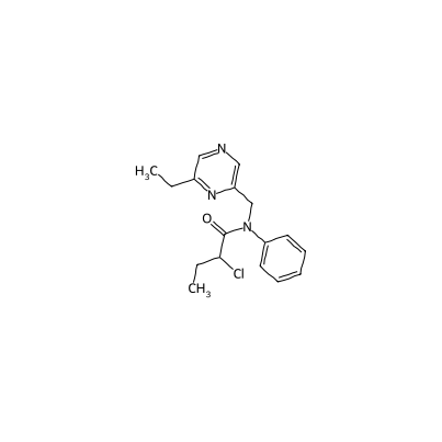 CCc1cncc(CN(C(=O)C(Cl)CC)c2ccccc2)n1